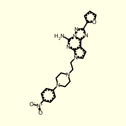 Nc1nc2c(ccn2CCN2CCN(c3ccc([N+](=O)[O-])cc3)CC2)c2nc(-c3ccco3)nn12